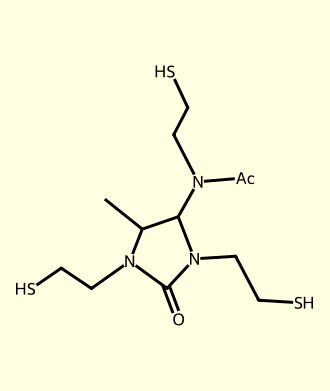 CC(=O)N(CCS)C1C(C)N(CCS)C(=O)N1CCS